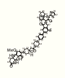 COc1cc(N2CCC(O)(CC(=O)N3CCN(c4ccc(-c5cc(F)c6c(c5)C(=O)N(C(C(=O)Nc5nccs5)c5ncn7c5CCC7)C6)cc4)CC3)CC2)c(F)cc1NC1CCC(=O)NC1O